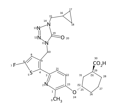 Cc1nc(-c2sc(F)cc2Cn2nnn(CC3CC3)c2=O)ccc1O[C@H]1CCC[C@H](C(=O)O)C1